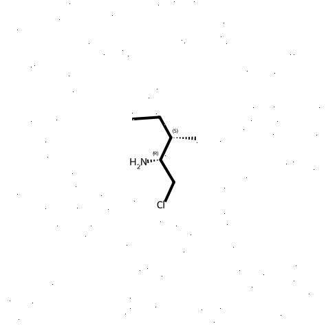 CC[C@H](C)[C@@H](N)CCl